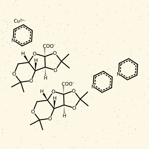 CC1(C)OC[C@@H]2O[C@@]3(C(=O)[O-])OC(C)(C)O[C@H]3[C@@H]2O1.CC1(C)OC[C@@H]2O[C@@]3(C(=O)[O-])OC(C)(C)O[C@H]3[C@@H]2O1.[Cu+2].c1ccncc1.c1ccncc1.c1ccncc1